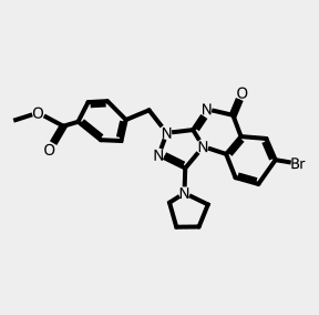 COC(=O)c1ccc(Cn2nc(N3CCCC3)n3c4ccc(Br)cc4c(=O)nc23)cc1